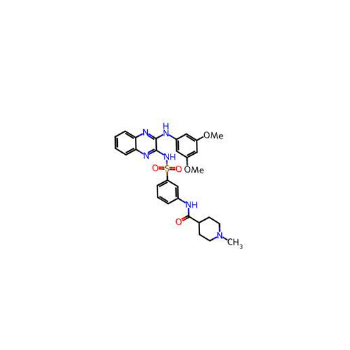 COc1cc(Nc2nc3ccccc3nc2NS(=O)(=O)c2cccc(NC(=O)C3CCN(C)CC3)c2)cc(OC)c1